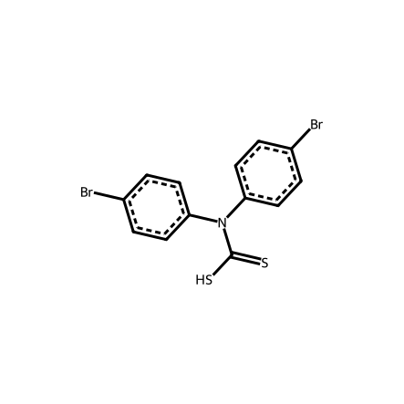 S=C(S)N(c1ccc(Br)cc1)c1ccc(Br)cc1